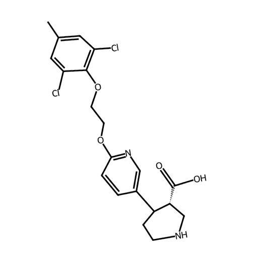 Cc1cc(Cl)c(OCCOc2ccc(C3CCNC[C@H]3C(=O)O)cn2)c(Cl)c1